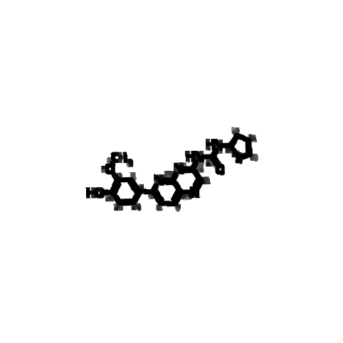 COc1cc(-c2ccc3ncc(NC(=O)NC4CC=CS4)nc3n2)ccc1O